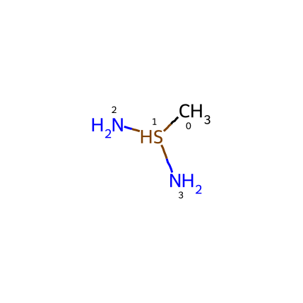 C[SH](N)N